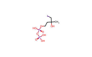 CC(O)(CI)CCOP(=O)(O)OP(=O)(O)O